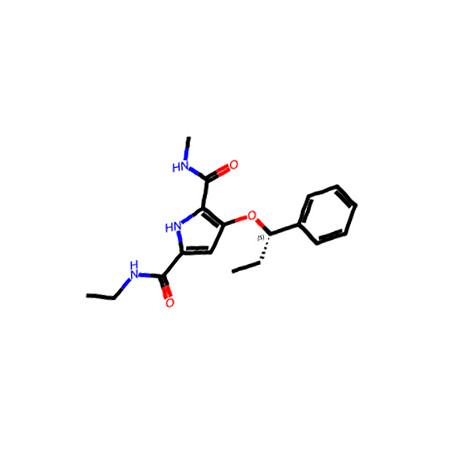 CCNC(=O)c1cc(O[C@@H](CC)c2ccccc2)c(C(=O)NC)[nH]1